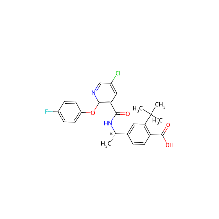 C[C@H](NC(=O)c1cc(Cl)cnc1Oc1ccc(F)cc1)c1ccc(C(=O)O)c(C(C)(C)C)c1